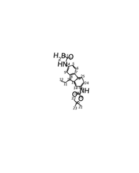 BC(=O)Nc1ccc2c(c1)C(CC)c1cc(NC(=O)OC(C)(C)C)ccc1-2